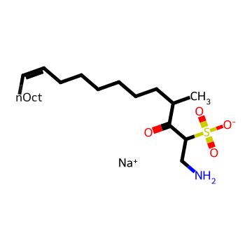 CCCCCCCC/C=C\CCCCCCC(C)C(=O)C(CN)S(=O)(=O)[O-].[Na+]